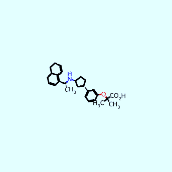 C[C@@H](N[C@H]1CC[C@@H](c2cccc(OC(C)(C)C(=O)O)c2)C1)C1=C2C=CCCC2CC=C1